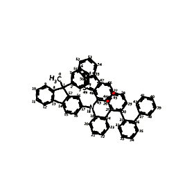 CC1(c2ccccc2)c2ccccc2-c2ccc(N(c3ccccc3-c3ccccc3-c3ccccc3-c3ccccc3)c3cccc4c3sc3ccccc34)cc21